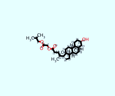 CC(C)COC(=O)COC(=O)CC[C@@H](C)[C@H]1CC[C@H]2[C@@H]3CC[C@@H]4C[C@H](O)CC[C@]4(C)[C@H]3CC[C@]12C